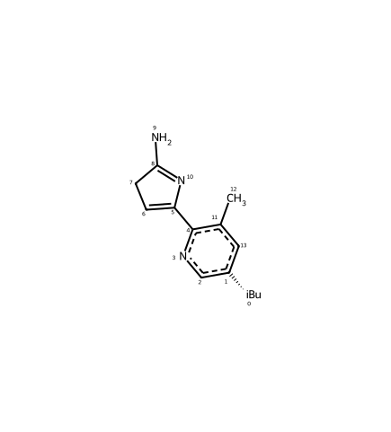 CC[C@@H](C)c1cnc(C2=CCC(N)=N2)c(C)c1